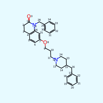 O=C1CCc2ccc(OCCCN3CCC(Cc4ccccc4)CC3)cc2N1Cc1ccccc1